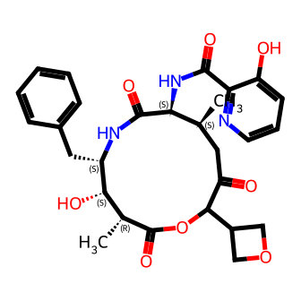 C[C@H]1CC(=O)C(C2COC2)OC(=O)[C@H](C)[C@H](O)[C@H](Cc2ccccc2)NC(=O)[C@H]1NC(=O)c1ncccc1O